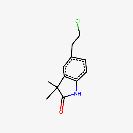 CC1(C)C(=O)Nc2ccc(CCCl)cc21